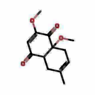 COC1=CC(=O)C2CC(C)=CCC2(OC)C1=O